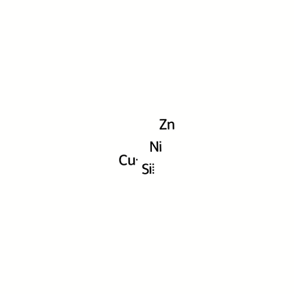 [Cu].[Ni].[Si].[Zn]